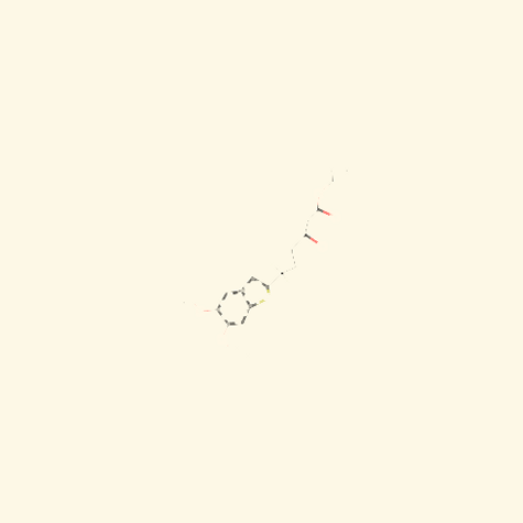 CCOC(=O)CC(=O)CCC(F)(F)c1cc2cc(OC)c(OC)cc2s1